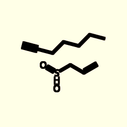 C#CCCCCC.C=CC[SH](=O)=O